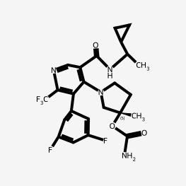 CC(NC(=O)c1cnc(C(F)(F)F)c(-c2cc(F)cc(F)c2)c1N1CC[C@](C)(OC(N)=O)C1)C1CC1